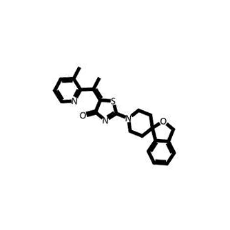 C/C(=C1\SC(N2CCC3(CC2)OCc2ccccc23)=NC1=O)c1ncccc1C